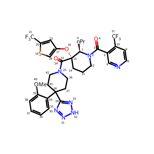 CCC[C@H]1N(C(=O)c2cnccc2C(F)(F)F)CCC[C@@]1(Oc1csc(C(F)(F)F)c1)C(=O)N1CCC(c2nn[nH]n2)(c2ccccc2OC)CC1